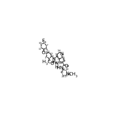 Cc1cc(Oc2ccc(F)cc2)ccc1N1C(=O)Nc2c(C(=O)NC3CCCN(C)C3)sc3nccc1c23